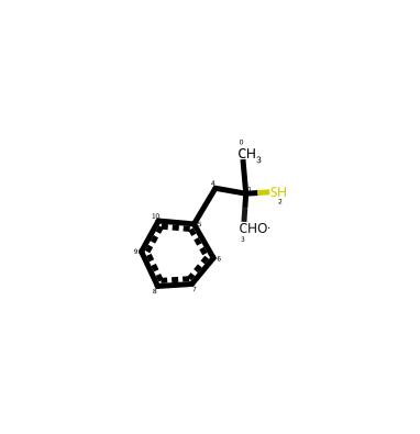 CC(S)([C]=O)Cc1ccccc1